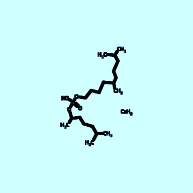 CC(C)CCCC(C)CCCCOP(=O)(O)OC(C)CCCC(C)C.[CaH2]